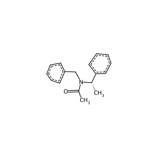 CC(=O)N(Cc1ccccc1)[C@@H](C)c1ccccc1